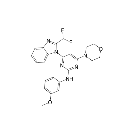 COc1cccc(Nc2nc(N3CCOCC3)cc(-n3c(C(F)F)nc4ccccc43)n2)c1